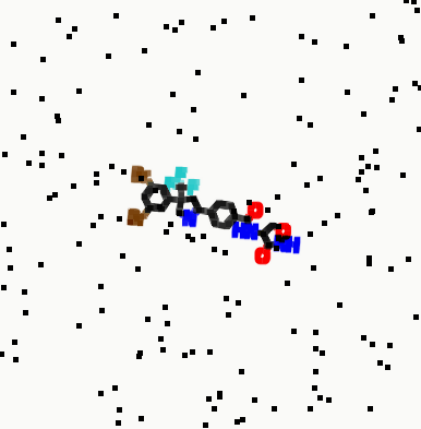 O=C(NC1CONC1=O)c1ccc(C2=NCC(c3cc(Br)cc(Br)c3)(C(F)(F)F)C2)cc1